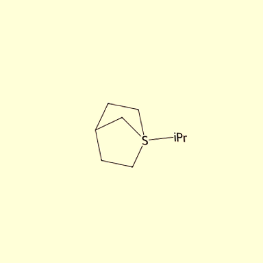 CC(C)S12CCC(CC1)C2